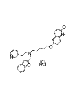 Cl.Cl.Cn1c(=O)ccc2cc(OCCCCCN(CCc3cccnc3)Cc3cc4ccccc4o3)ccc21